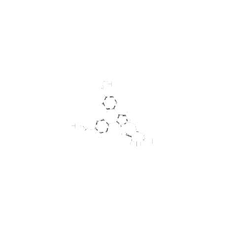 CCC(Cc1cc(-c2ccc(OC)cc2)c(-c2ccc(OC)cc2)s1)C(=O)O